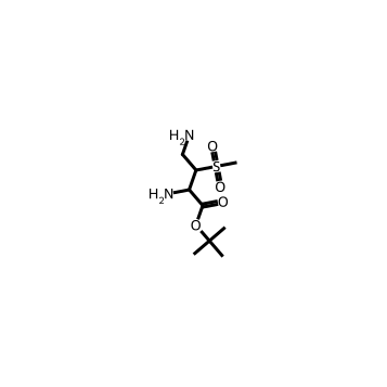 CC(C)(C)OC(=O)C(N)C(CN)S(C)(=O)=O